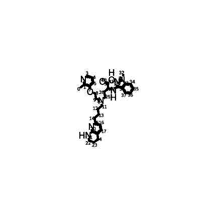 Cc1ncccc1OCCN(CCCCc1ccc2c(n1)NCCC2)CCC(Nc1nn(C)c2ccccc12)C(=O)O